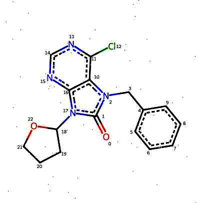 O=c1n(Cc2ccccc2)c2c(Cl)ncnc2n1C1CCCO1